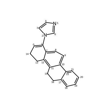 C1=C(n2ccnc2)c2ccc3c(c2CC1)CCc1ccccc1-3